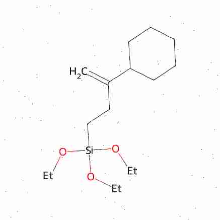 C=C(CC[Si](OCC)(OCC)OCC)C1CCCCC1